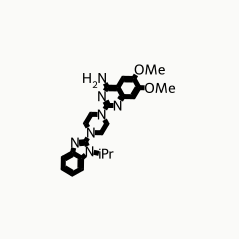 COc1cc2nc(N3CCN(c4nc5ccccc5n4C(C)C)CC3)nc(N)c2cc1OC